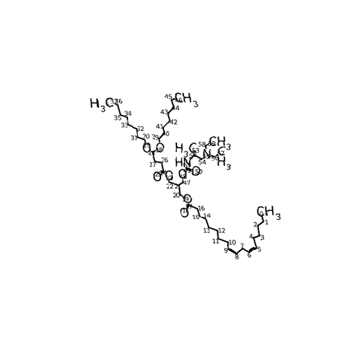 CCCCC/C=C\C/C=C\CCCCCCCC(=O)OCC(COC(=O)CCC(OCCCCCCCC)OCCCCCCCC)COC(=O)NC(C)CN(CC)CC